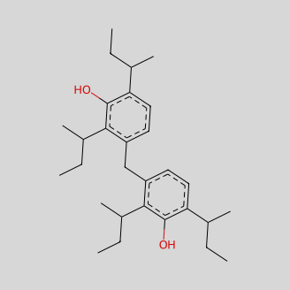 CCC(C)c1ccc(Cc2ccc(C(C)CC)c(O)c2C(C)CC)c(C(C)CC)c1O